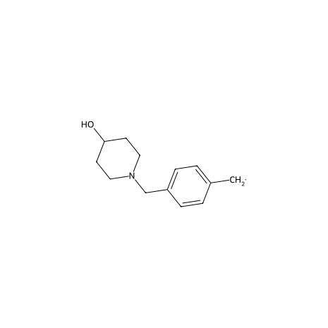 [CH2]c1ccc(CN2CCC(O)CC2)cc1